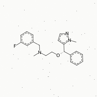 CN(CCO[C@@H](c1ccccc1)c1ccnn1C)Cc1cccc(F)c1